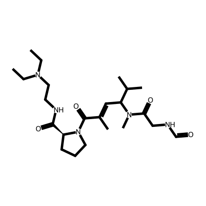 CCN(CC)CCNC(=O)[C@@H]1CCCN1C(=O)/C(C)=C/C(C(C)C)N(C)C(=O)CNC=O